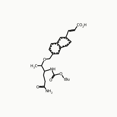 CC(OCc1ccc2cc(/C=C/C(=O)O)ccc2c1)C(CCC(N)=O)NC(=O)OC(C)(C)C